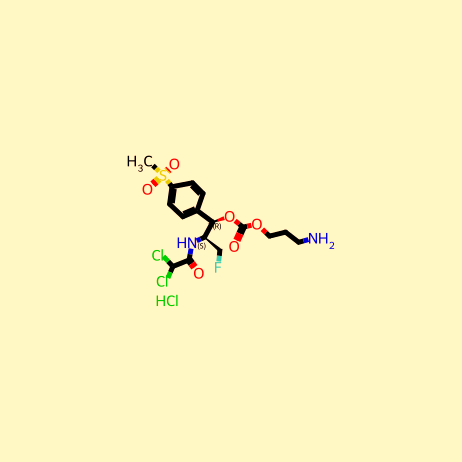 CS(=O)(=O)c1ccc([C@@H](OC(=O)OCCCN)[C@@H](CF)NC(=O)C(Cl)Cl)cc1.Cl